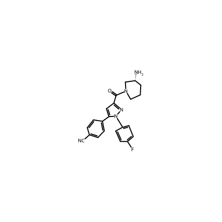 N#Cc1ccc(-c2cc(C(=O)N3CCC[C@@H](N)C3)nn2-c2ccc(F)cc2)cc1